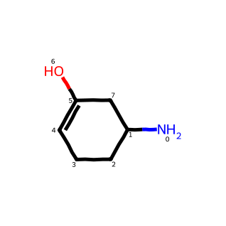 NC1CCC=C(O)C1